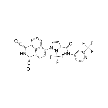 O=C=C1NC(=C=O)c2ccc(N3C=CC(C(=O)Nc4ccnc(C(F)(F)F)c4)N3C(F)(F)F)c3cccc1c23